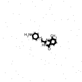 Cc1cccc2c(=O)[nH]c(CS[C@H]3CC[C@@H](N)CC3)nc12